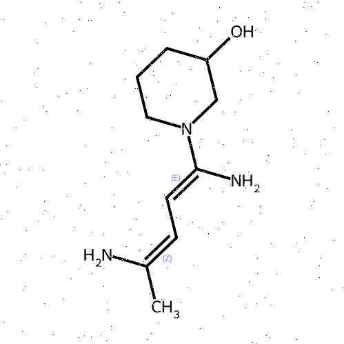 C/C(N)=C/C=C(\N)N1CCCC(O)C1